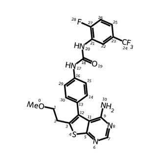 COCCc1sc2ncnc(N)c2c1-c1ccc(NC(=O)Nc2cc(C(F)(F)F)ccc2F)cc1